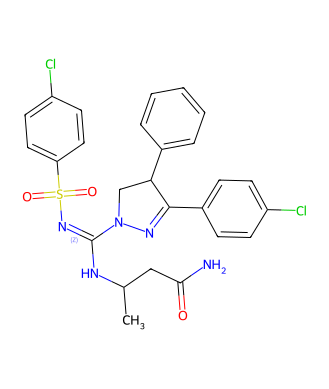 CC(CC(N)=O)N/C(=N/S(=O)(=O)c1ccc(Cl)cc1)N1CC(c2ccccc2)C(c2ccc(Cl)cc2)=N1